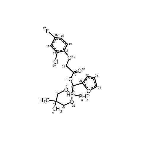 CC1(C)CO[PH](P)(C(OC(=O)COc2ccc(F)cc2Cl)c2ccco2)OC1